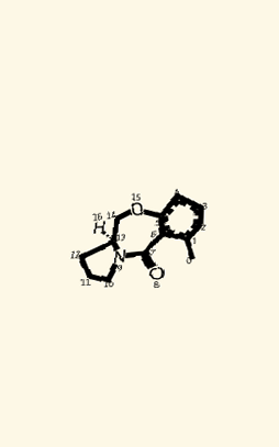 Cc1cccc2c1C(=O)N1CCC[C@H]1CO2